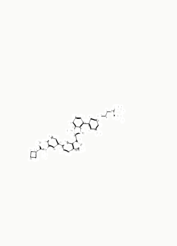 CN(C)CCOc1cc(F)cc(-c2cccc3[nH]c(-c4n[nH]c5ccc(-c6cncc(NC(=O)C7CCC7)c6)nc45)nc23)c1